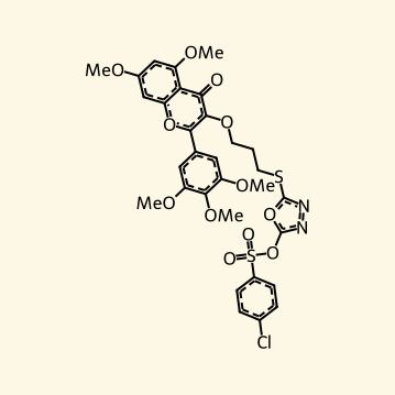 COc1cc(OC)c2c(=O)c(OCCCSc3nnc(OS(=O)(=O)c4ccc(Cl)cc4)o3)c(-c3cc(OC)c(OC)c(OC)c3)oc2c1